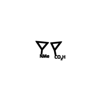 CNC1CC1.O=C(O)C1CC1